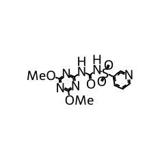 COc1nc(NC(=O)NS(=O)(=O)c2cccnc2)nc(OC)n1